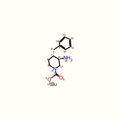 CC(C)(C)OC(=O)N1CC[C@H](Cc2ccccc2)[C@@H](N)C1